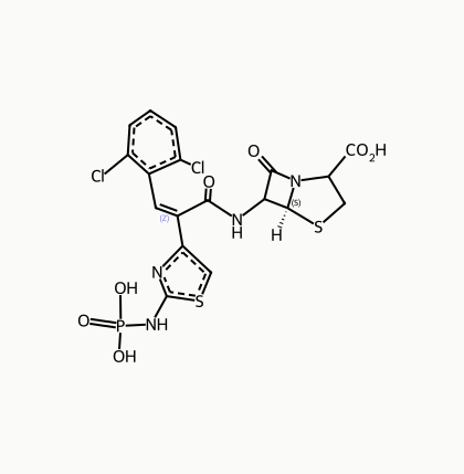 O=C(NC1C(=O)N2C(C(=O)O)CS[C@@H]12)/C(=C\c1c(Cl)cccc1Cl)c1csc(NP(=O)(O)O)n1